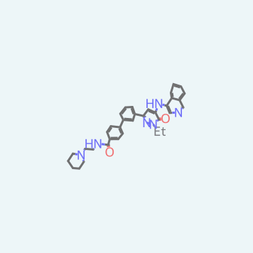 CCn1nc(-c2cccc(-c3ccc(C(=O)NCCN4CCCCC4)cc3)c2)cc(Nc2cncc3ccccc23)c1=O